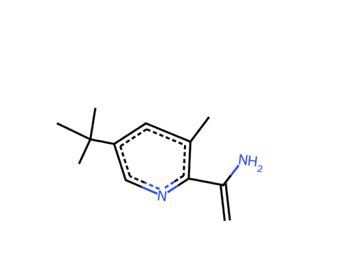 C=C(N)c1ncc(C(C)(C)C)cc1C